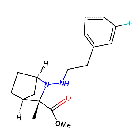 COC(=O)[C@]1(C)[C@H]2CC[C@H](C2)N1NCCc1cccc(F)c1